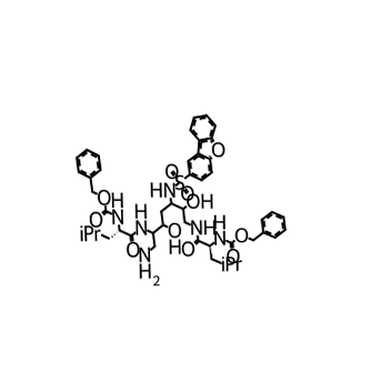 CC(C)C[C@H](NC(=O)OCc1ccccc1)C(=O)NCC(O)C(CC(O)C(CN)NC(=O)[C@H](CC(C)C)NC(=O)OCc1ccccc1)NS(=O)(=O)c1ccc2oc3ccccc3c2c1